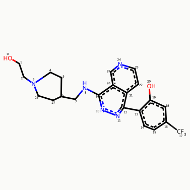 OCCN1CCC(CNc2nnc(-c3ccc(C(F)(F)F)cc3O)c3ccncc23)CC1